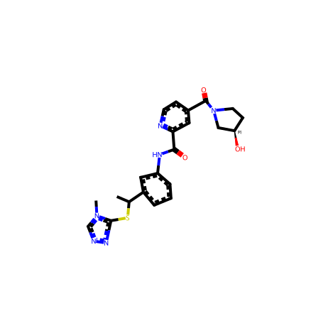 CC(Sc1nncn1C)c1cccc(NC(=O)c2cc(C(=O)N3CC[C@@H](O)C3)ccn2)c1